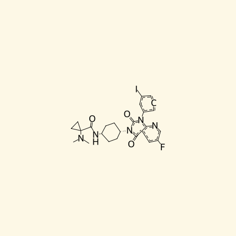 CN(C)C1(C(=O)N[C@H]2CC[C@@H](n3c(=O)c4cc(F)cnc4n(-c4cccc(I)c4)c3=O)CC2)CC1